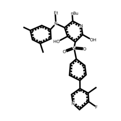 CCCCc1nc(O)c(S(=O)(=O)c2ccc(-c3cncc(F)c3C)cc2)c(O)c1N(CC)c1cc(C)cc(C)c1